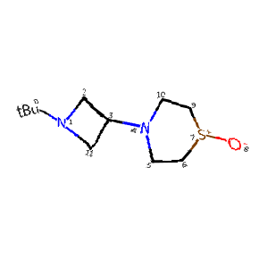 CC(C)(C)N1CC(N2CC[S+]([O-])CC2)C1